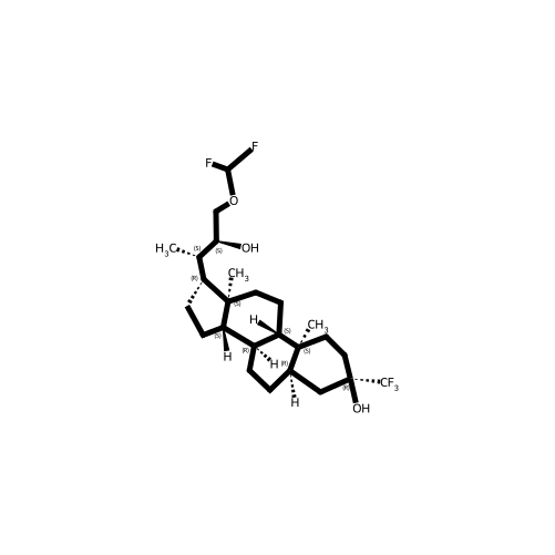 C[C@H]([C@H](O)COC(F)F)[C@H]1CC[C@H]2[C@@H]3CC[C@@H]4C[C@@](O)(C(F)(F)F)CC[C@]4(C)[C@H]3CC[C@]12C